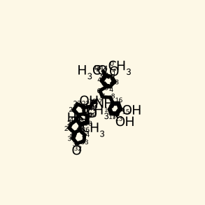 COc1ccc(CC(Cc2ccc(O)c(O)c2)NCC(=O)[C@@]2(O)CC[C@H]3[C@@H]4CCC5=CC(=O)CC[C@]5(C)C4=CC[C@@]32C)cc1OC